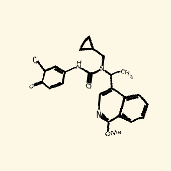 COc1ncc(C(C)N(CC2CC2)C(=O)NC2=CC(Cl)C(=O)C=C2)c2ccccc12